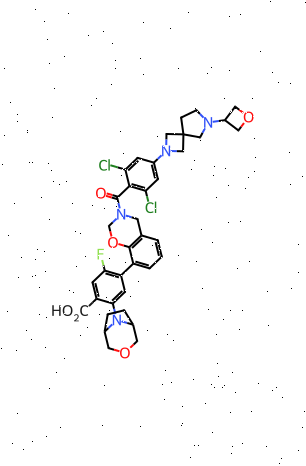 O=C(O)c1cc(F)c(-c2cccc3c2OCN(C(=O)c2c(Cl)cc(N4CC5(CCN(C6COC6)C5)C4)cc2Cl)C3)cc1N1C2CCC1COC2